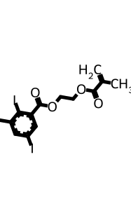 C=C(C)C(=O)OCCOC(=O)c1cc(I)cc(I)c1I